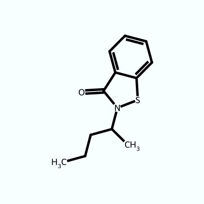 CCCC(C)n1sc2ccccc2c1=O